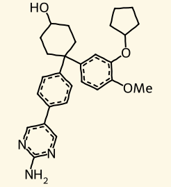 COc1ccc(C2(c3ccc(-c4cnc(N)nc4)cc3)CCC(O)CC2)cc1OC1CCCC1